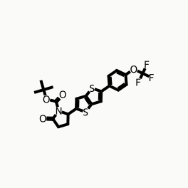 CC(C)(C)OC(=O)N1C(=O)CCC1c1cc2sc(-c3ccc(OC(F)(F)F)cc3)cc2s1